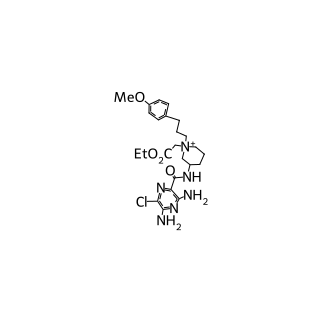 CCOC(=O)C[N+]1(CCCc2ccc(OC)cc2)CCCC(NC(=O)c2nc(Cl)c(N)nc2N)C1